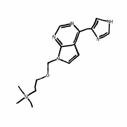 C[Si](C)(C)CCOCn1ccc2c(-c3c[nH]cn3)ncnc21